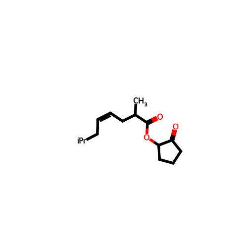 CC(C)C/C=C\CC(C)C(=O)OC1CCCC1=O